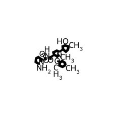 Cc1cc(C)c(Oc2nc(-c3ccc(C)c(O)c3)ccc2C(=O)NS(=O)(=O)c2cccc(N)n2)c(C)c1